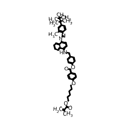 C=C(C)C(=O)OCCCCCCOc1ccc(C(=O)Oc2ccc(CNc3ccc(/N=N/c4ccc(C(C)(C)C(C)(C)C)cc4C)c4ccccc34)cc2)cc1